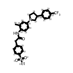 CCS(=O)(=O)c1ccc(CC(=O)Nc2ccc(N3CCC(c4ccc(C(F)(F)F)cc4)C3)cc2C)cc1